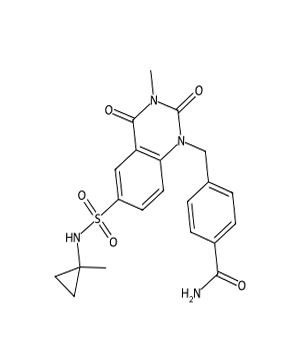 Cn1c(=O)c2cc(S(=O)(=O)NC3(C)CC3)ccc2n(Cc2ccc(C(N)=O)cc2)c1=O